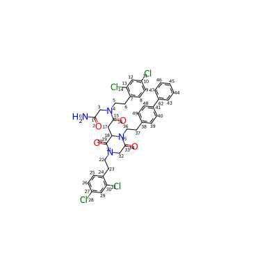 NC(=O)CN(CCc1ccc(Cl)cc1Cl)C(=O)CC1C(=O)N(CCc2ccc(Cl)cc2Cl)CC(=O)N1CCc1ccc(-c2ccccc2)cc1